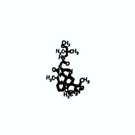 COCC(C)(C)CNC(=O)Cn1c(=O)n([C@H](C)c2ccccn2)c2c3cc(OC)c(-c4c(C)noc4C)cc3ncc21